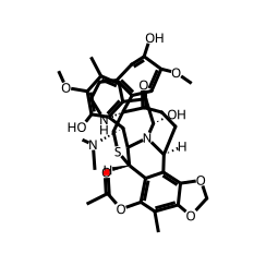 COc1cc2c(cc1O)CCN[C@]21CS[C@H]2c3c(OC(C)=O)c(C)c4c(c3[C@H](CCC1=O)N1C2[C@@H](N(C)C)c2c(cc(C)c(OC)c2O)C[C@@H]1O)OCO4